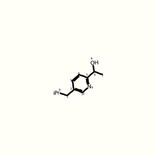 CC(C)Cc1ccc(C(C)O)nc1